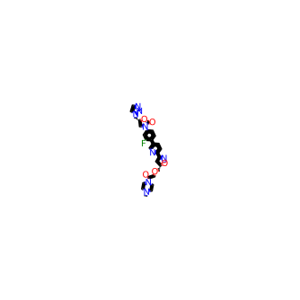 CN1CCN(C(=O)COC[C@@H]2CC(c3ccc(-c4ccc(N5C[C@H](Cn6ccnn6)OC5=O)cc4F)cn3)=NO2)CC1